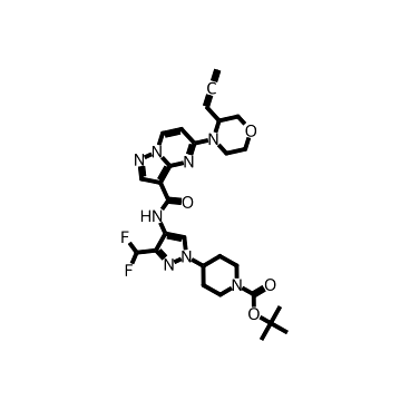 C=C=CC1COCCN1c1ccn2ncc(C(=O)Nc3cn(C4CCN(C(=O)OC(C)(C)C)CC4)nc3C(F)F)c2n1